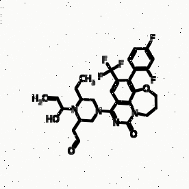 C=CC(O)N1C(CC)CN(c2nc(=O)n3c4c(c(-c5ccc(F)cc5F)c(C(F)(F)F)cc24)OCCC3)CC1CC=O